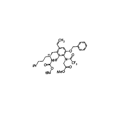 C=Cc1cc(OCc2ccccc2)c(N(CC(=O)OC)C(=O)C(F)(F)F)c(F)c1C[C@H](CCCC(C)C)NC(=O)OC(C)(C)C